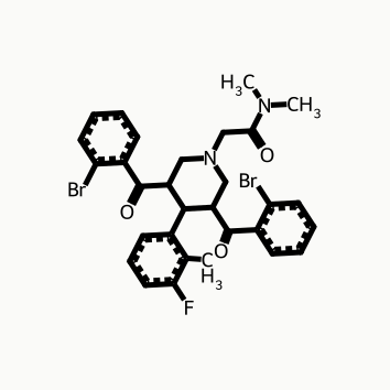 Cc1c(F)cccc1C1C(C(=O)c2ccccc2Br)CN(CC(=O)N(C)C)CC1C(=O)c1ccccc1Br